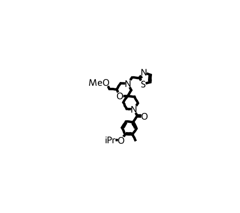 COCC1CN(Cc2nccs2)CC2(CCN(C(=O)c3ccc(OC(C)C)c(C)c3)CC2)O1